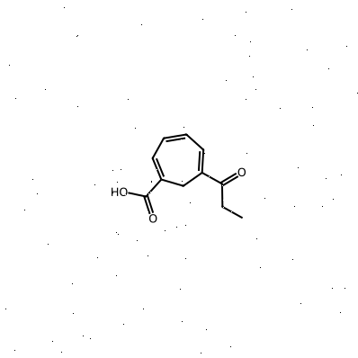 CCC(=O)C1=CC=CC=C(C(=O)O)C1